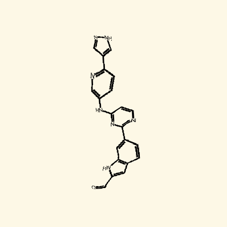 O=Cc1cc2ccc(-c3nccc(Nc4ccc(-c5cn[nH]c5)nc4)n3)cc2[nH]1